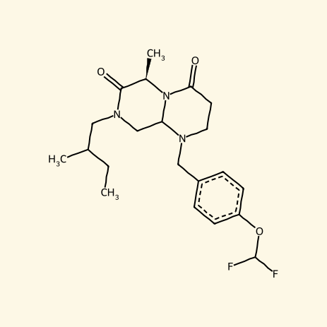 CCC(C)CN1CC2N(Cc3ccc(OC(F)F)cc3)CCC(=O)N2[C@H](C)C1=O